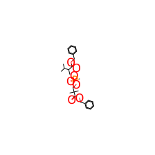 CC(C)C(COP(C)(=O)OCC(C)(C)C(=O)OCc1ccccc1)C(=O)OCc1ccccc1